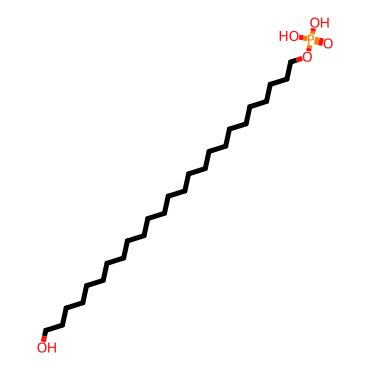 O=P(O)(O)OCCCCCCCCCCCCCCCCCCCCCCCCCO